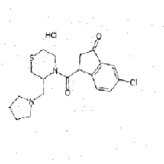 Cl.O=C1CC(C(=O)N2CCSCC2CN2CCCC2)c2ccc(Cl)cc21